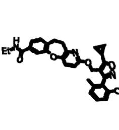 CCNC(=O)c1ccc2c(c1)Oc1ccc(OCc3c(-c4c(C)cccc4Cl)noc3C3CC3)nc1CC2